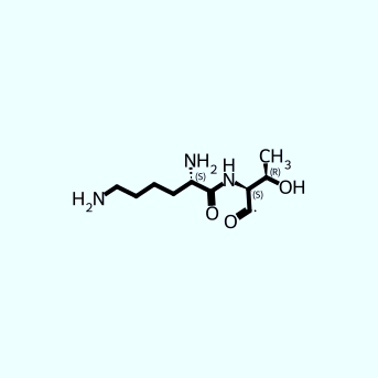 C[C@@H](O)[C@@H]([C]=O)NC(=O)[C@@H](N)CCCCN